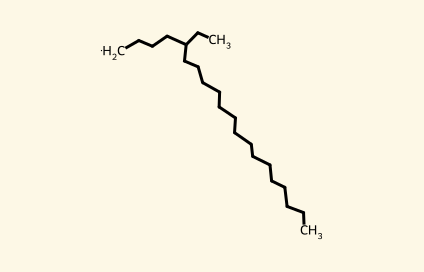 [CH2]CCCC(CC)CCCCCCCCCCCCCCC